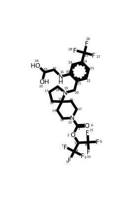 O=C(OC(C(F)(F)F)C(F)(F)F)N1CCC2(CCCN2Cc2ccc(C(F)(F)F)cc2NCC(O)O)CC1